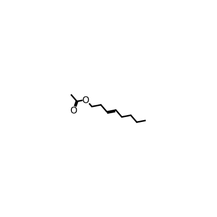 CCCCC=CCCOC(C)=O